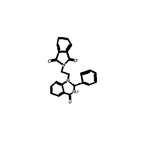 O=C1NC(c2ccccc2)N(CCN2C(=O)c3ccccc3C2=O)c2ccccc21